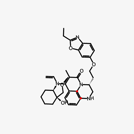 C=CN(/C(=C(\C)C(=O)N1CCNC[C@H]1CCOc1ccc2nc(CC)oc2c1)c1ccccc1)[C@@H]1CCCC[C@@]1(O)COC